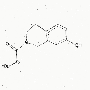 CCCCOC(=O)N1CCc2ccc(O)cc2C1